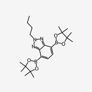 CCCCn1nc2c(B3OC(C)(C)C(C)(C)O3)ccc(B3OC(C)(C)C(C)(C)O3)c2n1